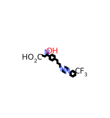 O=C(O)CC/C(=N/O)c1ccc(CCCCN2CCN(c3cccc(C(F)(F)F)c3)CC2)cc1